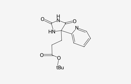 CC(C)(C)OC(=O)CCC1(c2ccccn2)NC(=O)NC1=O